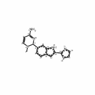 CN1C=CC(N)=NC1c1ccc2cc(-c3nccs3)[nH]c2c1